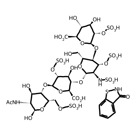 CC(=O)N[C@@H]1[C@@H](O)[C@H](O[C@@H]2O[C@H](C(=O)O)[C@@H](O[C@@H]3O[C@H](CO)[C@@H](O[C@H]4O[C@@H](C(=O)O)[C@H](O)[C@@H](O)[C@@H]4OS(=O)(=O)O)[C@H](OS(=O)(=O)O)[C@H]3NS(=O)(=O)O)[C@H](O)[C@H]2OS(=O)(=O)O)[C@H](COS(=O)(=O)O)O[C@H]1O.O=c1[nH]sc2ccccc12